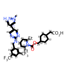 C=C/C(=C\N(C)N)c1cnc(N(Cc2cc(C(F)(F)F)cc(C(F)(F)F)c2)[C@H]2C[C@@H](CC)N(C(=O)OCC3CCC(CC(=O)O)CC3)[C@@H](CC)C2)nc1